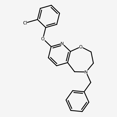 Clc1ccccc1Oc1ccc2c(n1)OCCN(Cc1ccccc1)C2